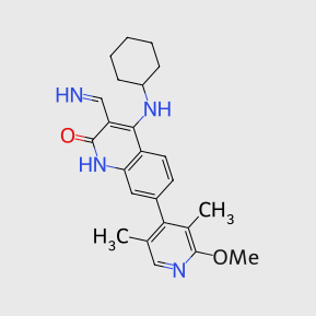 COc1ncc(C)c(-c2ccc3c(NC4CCCCC4)c(C=N)c(=O)[nH]c3c2)c1C